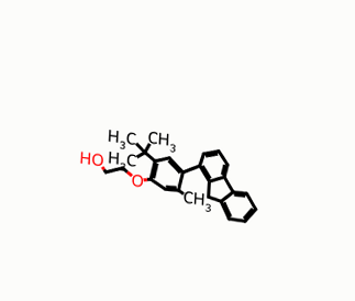 Cc1cc(OCCO)c(C(C)(C)C)cc1-c1cccc2c1Cc1ccccc1-2